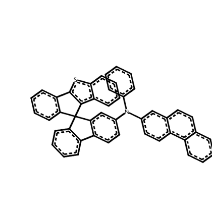 c1ccc(N(c2ccc3c(c2)C2(c4ccccc4-3)c3ccccc3-c3sc4ccccc4c32)c2ccc3c(ccc4ccccc43)c2)cc1